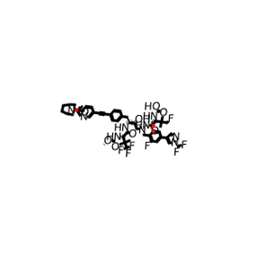 COC(=O)N[C@H](C(=O)N[C@@H](Cc1ccc(C#Cc2ccc(N3CC4CCC(C3)N4C3COC3)nc2)cc1)[C@@H](O)CN(Cc1c(F)cc(-c2cnn(C(F)F)c2)cc1F)NC(=O)[C@@H](NC(=O)O)C(C)(C)CF)C(C)(C)C(F)(F)F